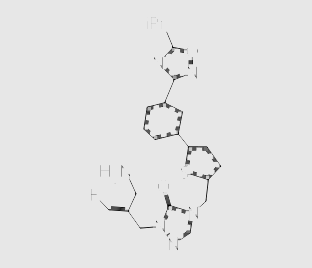 CC(C)c1nc(-c2cccc(-c3ccc(Cn4cnn(C/C(=C/F)CN)c4=O)s3)c2)no1